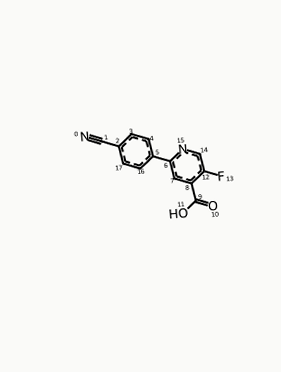 N#Cc1ccc(-c2cc(C(=O)O)c(F)cn2)cc1